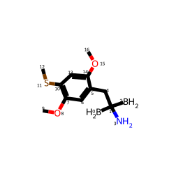 BC(B)(N)Cc1cc(OC)c(SC)cc1OC